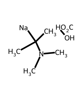 CN(C)[C](C)(C)[Na].O=C(O)O